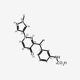 CC(c1cccc(NC(=O)O)c1)c1nn(-c2cnn(C)c2)ccc1=O